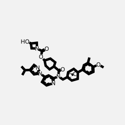 COc1ccc(C23CCC(CN(C(=O)C4CCC(OC(=O)N5CC(O)C5)CC4)c4cc(-n5cc(C(C)C)cn5)ccn4)(CC2)CC3)cc1C